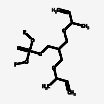 C=CC(C)OCC(COC(C)C=C)COP(=O)(OF)OF